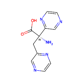 N[C@](Cc1cnccn1)(C(=O)O)c1cnccn1